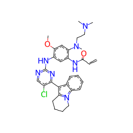 C=CC(=O)Nc1cc(Nc2ncc(Cl)c(-c3c4n(c5ccccc35)CCCC4)n2)c(OC)cc1N(C)CCN(C)C